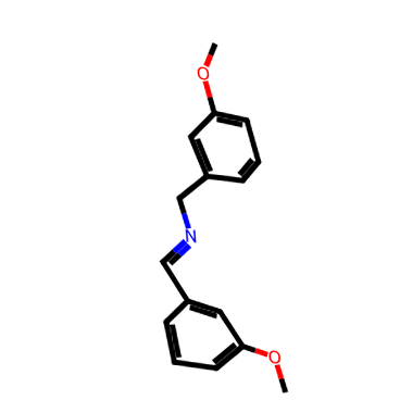 COc1cccc(/C=N/Cc2cccc(OC)c2)c1